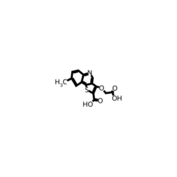 Cc1ccc2ncc3c(OCC(=O)O)c(C(=O)O)sc3c2c1